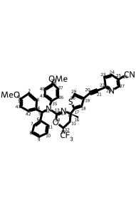 COc1ccc(C(c2ccccc2)N(C2=N[C@](C)(c3cc(C#Cc4ccc(C#N)cn4)cs3)C[C@@H](C(F)(F)F)O2)c2ccc(OC)cc2)cc1